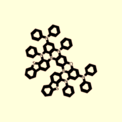 c1ccc(N(c2ccccc2)c2cc3c4c(c2)N(c2ccccc2)c2c(ccc5c2sc2ccccc25)B4c2cc4c(cc2O3)N(c2ccccc2)c2cc(N(c3ccccc3)c3ccccc3)cc3c2B4c2ccc4c(sc5ccccc54)c2N3c2ccccc2)cc1